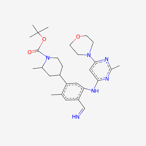 Cc1nc(Nc2cc(C3CCN(C(=O)OC(C)(C)C)C(C)C3)c(C)cc2C=N)cc(N2CCOCC2)n1